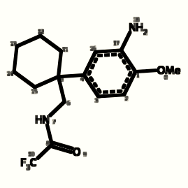 COc1ccc(C2(CNC(=O)C(F)(F)F)CCCCC2)cc1N